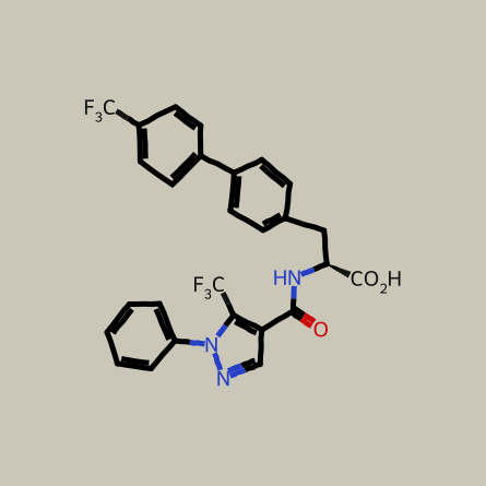 O=C(N[C@@H](Cc1ccc(-c2ccc(C(F)(F)F)cc2)cc1)C(=O)O)c1cnn(-c2ccccc2)c1C(F)(F)F